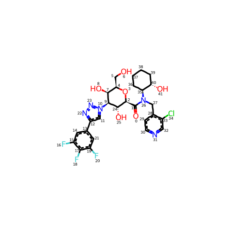 O=C([C@@H]1O[C@H](CO)[C@H](O)[C@H](n2cc(-c3cc(F)c(F)c(F)c3)nn2)[C@H]1O)N(Cc1ccncc1Cl)[C@H]1CCCC[C@@H]1O